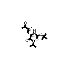 CC(=O)[C@H](C)C[C@H](NC(=O)OC(C)(C)C)C(=O)OC(C)C